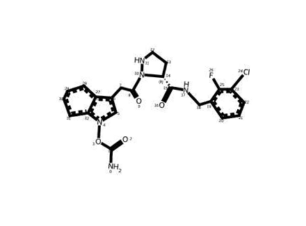 NC(=O)On1cc(CC(=O)N2NCC[C@@H]2C(=O)NCc2cccc(Cl)c2F)c2ccccc21